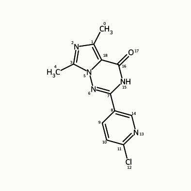 Cc1nc(C)n2nc(-c3ccc(Cl)nc3)[nH]c(=O)c12